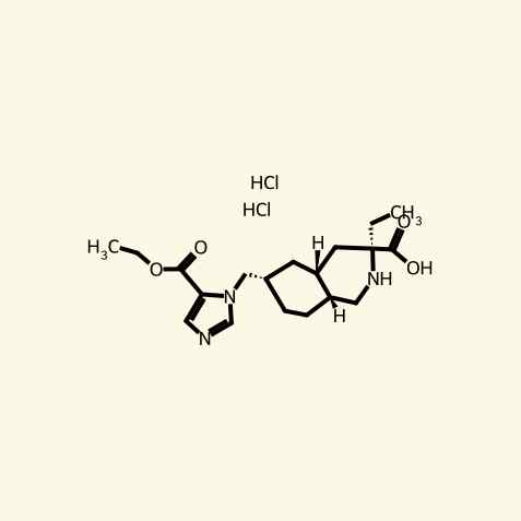 CCOC(=O)c1cncn1C[C@H]1CC[C@H]2CN[C@](CC)(C(=O)O)C[C@H]2C1.Cl.Cl